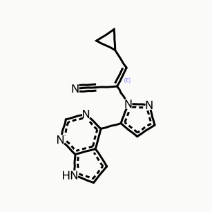 N#C/C(=C\C1CC1)n1nccc1-c1ncnc2[nH]ccc12